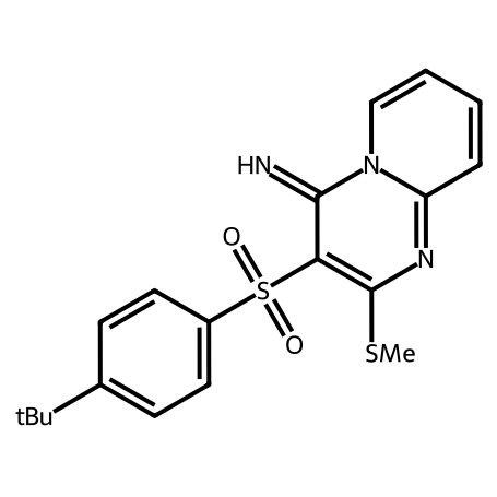 CSc1nc2ccccn2c(=N)c1S(=O)(=O)c1ccc(C(C)(C)C)cc1